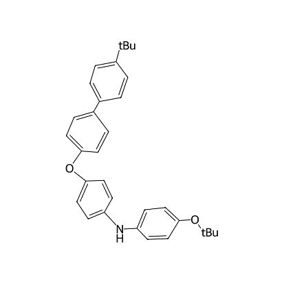 CC(C)(C)Oc1ccc(Nc2ccc(Oc3ccc(-c4ccc(C(C)(C)C)cc4)cc3)cc2)cc1